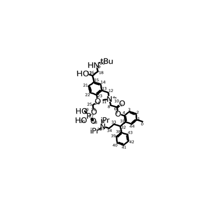 Cc1ccc(OC(=O)C[N+](C)(C)Cc2cc(C(O)CNC(C)(C)C)ccc2OCOP(=O)(O)O)c(C(CCN(C(C)C)C(C)C)c2ccccc2)c1